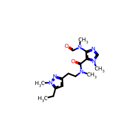 CCc1cc(CCN(C)C(=O)c2c(N(C)C=O)ncn2C)nn1C